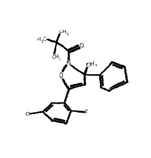 CC(C)(C)C(=O)N1OC(c2cc(Cl)ccc2F)=CC1(C)c1ccccc1